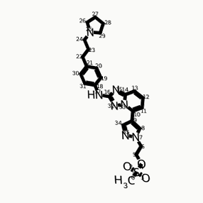 CS(=O)(=O)OCCn1cc(-c2cccc3nc(Nc4ccc(CCCN5CCCC5)cc4)nn23)cn1